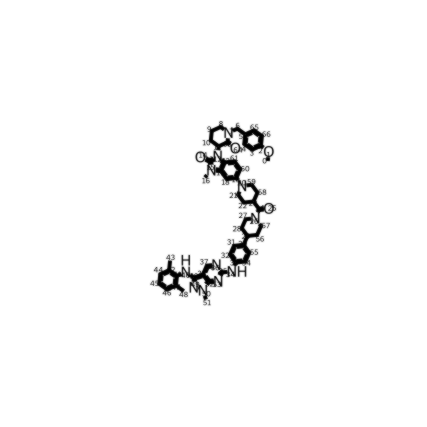 COc1ccc(CN2CCCC(n3c(=O)n(C)c4cc(N5CCC(C(=O)N6CCC(c7ccc(Nc8ncc9c(Nc%10c(C)cccc%10C)nn(C)c9n8)cc7)CC6)CC5)ccc43)C2=O)cc1